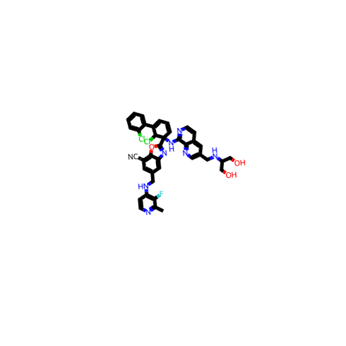 Cc1nccc(NCc2cc(C#N)c3oc(C4(Nc5nccc6cc(CNC(CO)CO)cnc56)C=CC=C(c5ccccc5Cl)C4Cl)nc3c2)c1F